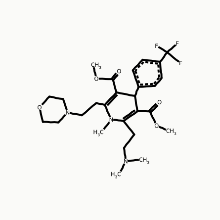 COC(=O)C1=C(CCN(C)C)N(C)C(CCN2CCOCC2)=C(C(=O)OC)C1c1ccc(C(F)(F)F)cc1